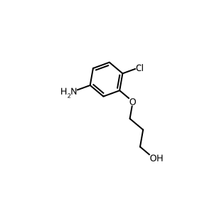 Nc1ccc(Cl)c(OCCCO)c1